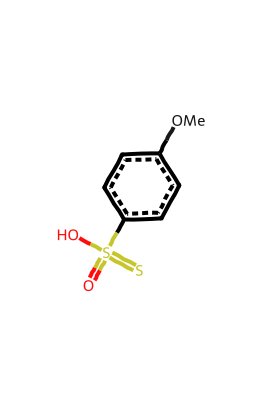 COc1ccc(S(=O)(O)=S)cc1